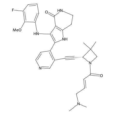 COc1c(F)cccc1Nc1c(-c2ccncc2C#C[C@H]2N(C(=O)/C=C/CN(C)C)CC2(C)C)[nH]c2c1C(=O)NCC2